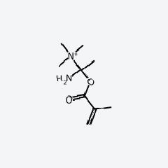 C=C(C)C(=O)OC(C)(N)[N+](C)(C)C